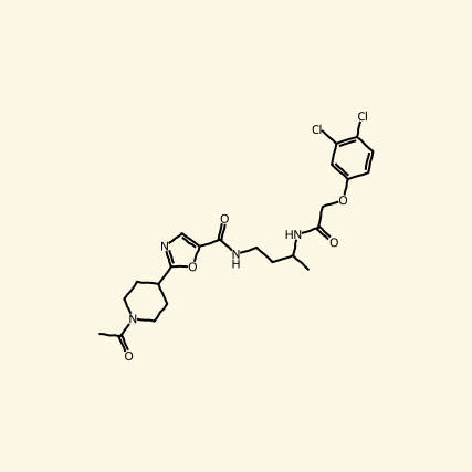 CC(=O)N1CCC(c2ncc(C(=O)NCCC(C)NC(=O)COc3ccc(Cl)c(Cl)c3)o2)CC1